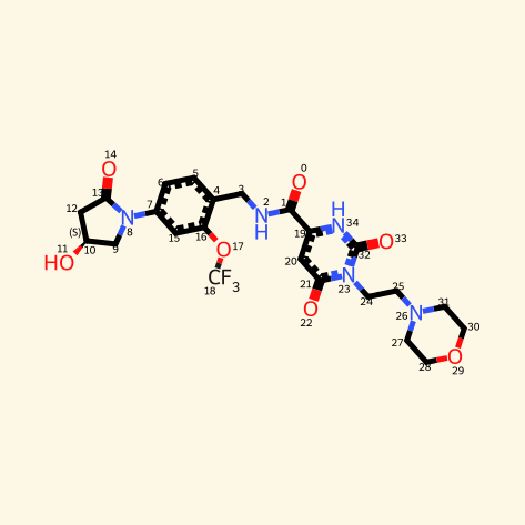 O=C(NCc1ccc(N2C[C@@H](O)CC2=O)cc1OC(F)(F)F)c1cc(=O)n(CCN2CCOCC2)c(=O)[nH]1